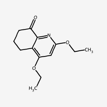 CCOc1cc(OCC)c2c(n1)C(=O)CCC2